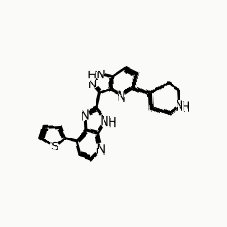 c1csc(-c2ccnc3[nH]c(-c4n[nH]c5ccc(C6CCNCC6)nc45)nc23)c1